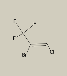 FC(F)(F)C(Br)=CCl